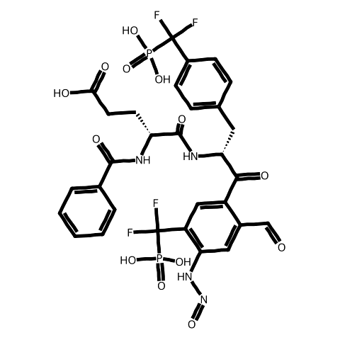 O=Cc1cc(NN=O)c(C(F)(F)P(=O)(O)O)cc1C(=O)[C@@H](Cc1ccc(C(F)(F)P(=O)(O)O)cc1)NC(=O)[C@@H](CCC(=O)O)NC(=O)c1ccccc1